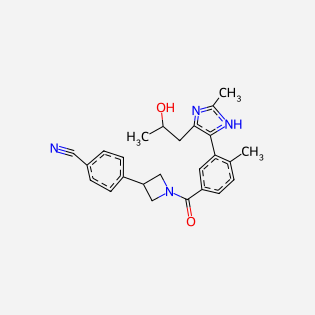 Cc1nc(CC(C)O)c(-c2cc(C(=O)N3CC(c4ccc(C#N)cc4)C3)ccc2C)[nH]1